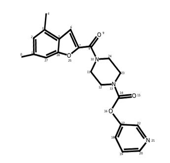 Cc1cc(C)c2cc(C(=O)N3CCN(C(=O)Oc4cccnc4)CC3)oc2c1